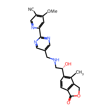 COc1cc(-c2ncc(CNC[C@H](O)c3ccc4c(c3C)COC4=O)cn2)ncc1C#N